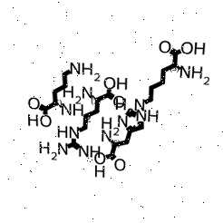 N=C(N)NCCC[C@H](N)C(=O)O.NCCCC[C@H](N)C(=O)O.NCCC[C@H](N)C(=O)O.N[C@@H](Cc1c[nH]cn1)C(=O)O